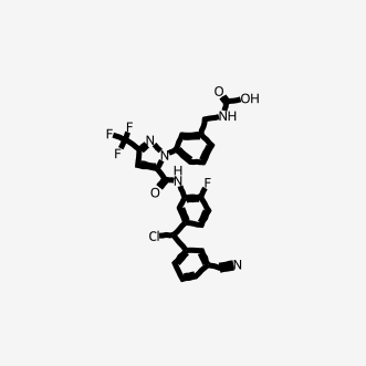 N#Cc1cccc(C(Cl)c2ccc(F)c(NC(=O)c3cc(C(F)(F)F)nn3-c3cccc(CNC(=O)O)c3)c2)c1